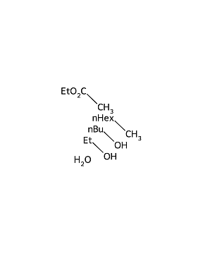 CCCCCCC.CCCCO.CCO.CCOC(C)=O.O